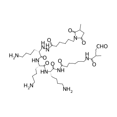 CC(CC=O)C(=O)NCCCCCC(=O)NC(=O)[C@H](CCCCN)NC(=O)[C@H](CCCCN)NC(=O)[C@H](CCCCN)NNC(=O)CCCCCN1C(=O)CC(C)C1=O